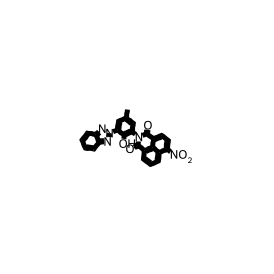 Cc1cc(N2C(=O)c3cccc4c([N+](=O)[O-])ccc(c34)C2=O)c(O)c(-n2nc3ccccc3n2)c1